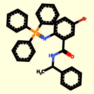 CC(NC(=O)c1cc(Br)ccc1N=P(c1ccccc1)(c1ccccc1)c1ccccc1)c1ccccc1